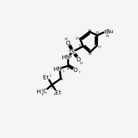 CCC(C)(CC)CNC(=O)NS(=O)(=O)c1ccc(C(C)(C)C)cc1